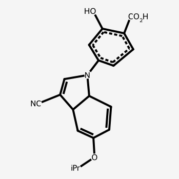 CC(C)OC1=CC2C(C#N)=CN(c3ccc(C(=O)O)c(O)c3)C2C=C1